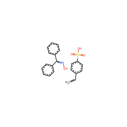 C=Cc1ccc(S(=O)(=O)O)cc1.ON=C(c1ccccc1)c1ccccc1